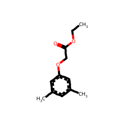 CCOC(=O)COc1cc(C)cc(C)c1